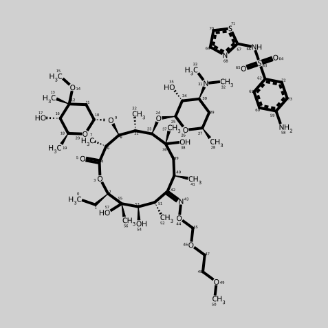 CC[C@H]1OC(=O)[C@H](C)[C@@H](O[C@H]2C[C@@](C)(OC)[C@@H](O)[C@H](C)O2)[C@H](C)[C@@H](O[C@@H]2O[C@H](C)C[C@H](N(C)C)[C@H]2O)[C@](C)(O)C[C@@H](C)/C(=N/OCOCCOC)[C@H](C)[C@@H](O)[C@]1(C)O.Nc1ccc(S(=O)(=O)Nc2nccs2)cc1